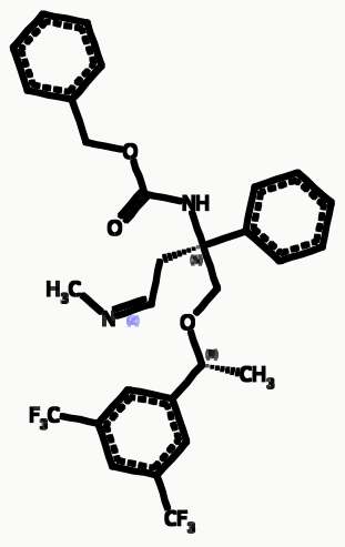 C/N=C\C[C@](CO[C@H](C)c1cc(C(F)(F)F)cc(C(F)(F)F)c1)(NC(=O)OCc1ccccc1)c1ccccc1